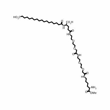 COC(=O)[C@@H](N)CCCCNC(=O)COCCOCCNC(=O)COCCOCCNC(=O)CC[C@@H](NC(=O)CCCCCCCCCCCCCCCCC(=O)O)C(=O)O